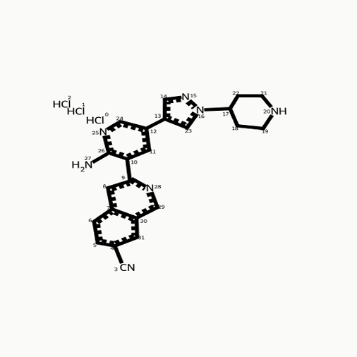 Cl.Cl.Cl.N#Cc1ccc2cc(-c3cc(-c4cnn(C5CCNCC5)c4)cnc3N)ncc2c1